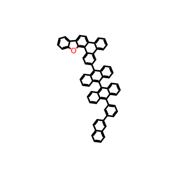 c1cc(-c2ccc3ccccc3c2)cc(-c2c3ccccc3c(-c3c4ccccc4c(-c4ccc5c(c4)c4ccccc4c4ccc6c7ccccc7oc6c45)c4ccccc34)c3ccccc23)c1